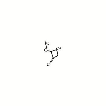 CC(=O)OC1NCC1=O